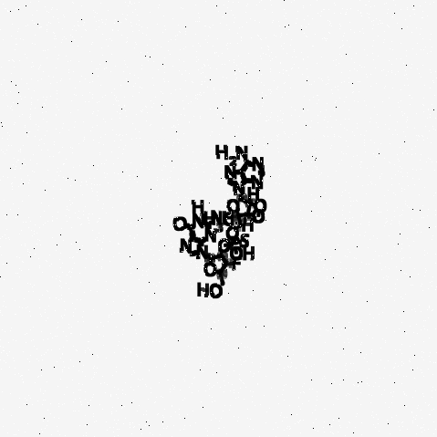 C[C@]1(COP(O)(=S)O[C@@H]2[C@@H](F)[C@@H](CO)O[C@H]2n2cnc3c(=O)[nH]c(N)nc32)O[C@@H](n2cnc3c(N)ncnc32)[C@@H]2OO[C@@H]21